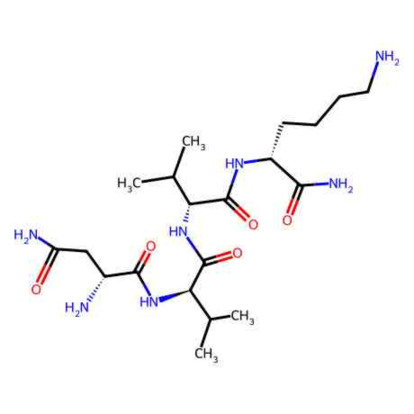 CC(C)[C@@H](NC(=O)[C@H](N)CC(N)=O)C(=O)N[C@@H](C(=O)N[C@H](CCCCN)C(N)=O)C(C)C